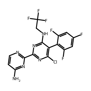 Nc1ccnc(-c2nc(Cl)c(-c3c(F)cc(F)cc3F)c(NCC(F)(F)F)n2)n1